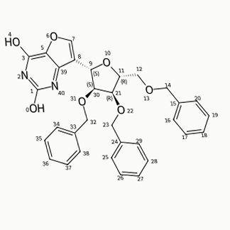 Oc1nc(O)c2occ([C@@H]3O[C@H](COCc4ccccc4)[C@@H](OCc4ccccc4)[C@H]3OCc3ccccc3)c2n1